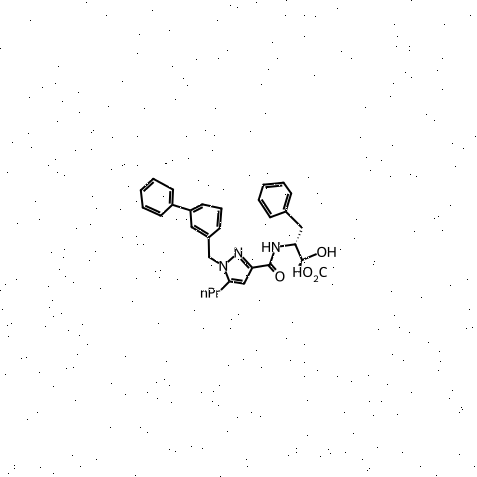 CCCc1cc(C(=O)N[C@H](Cc2ccccc2)[C@@H](O)C(=O)O)nn1Cc1cccc(-c2ccccc2)c1